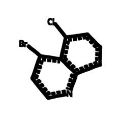 Clc1cccc2nccc(Br)c12